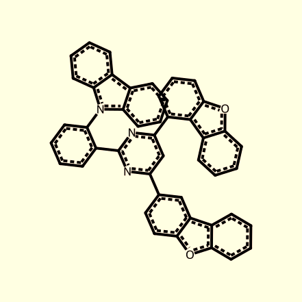 c1ccc(-n2c3ccccc3c3ccccc32)c(-c2nc(-c3ccc4oc5ccccc5c4c3)cc(-c3cccc4oc5ccccc5c34)n2)c1